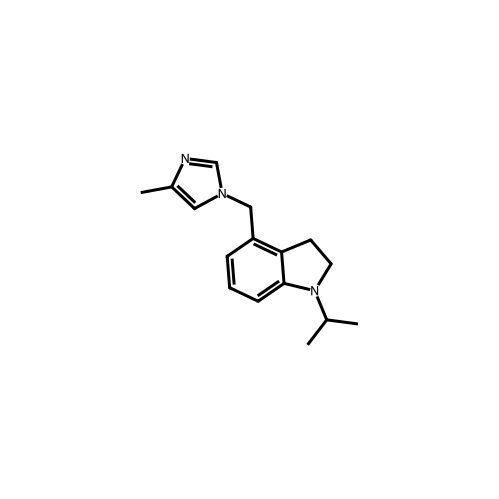 Cc1cn(Cc2cccc3c2CCN3C(C)C)cn1